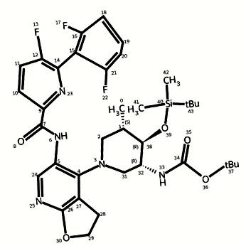 C[C@H]1CN(c2c(NC(=O)c3ccc(F)c(-c4c(F)cccc4F)n3)cnc3c2CCO3)C[C@@H](NC(=O)OC(C)(C)C)[C@@H]1O[Si](C)(C)C(C)(C)C